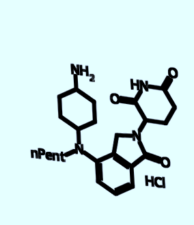 CCCCCN(c1cccc2c1CN(C1CCC(=O)NC1=O)C2=O)C1CCC(N)CC1.Cl